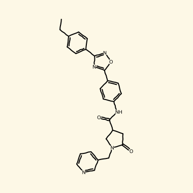 CCc1ccc(-c2noc(-c3ccc(NC(=O)C4CC(=O)N(Cc5cccnc5)C4)cc3)n2)cc1